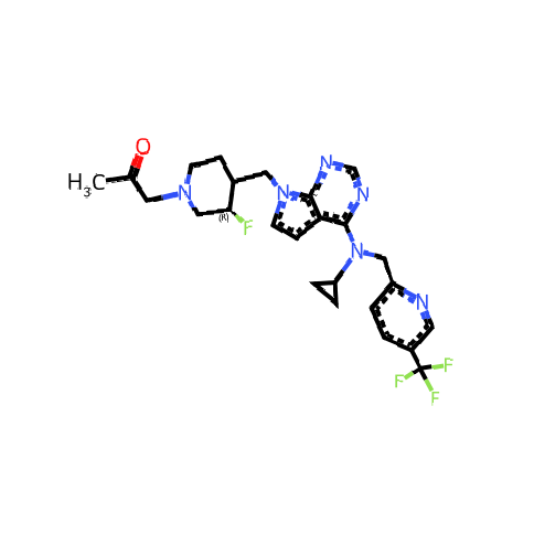 CC(=O)CN1CCC(Cn2ccc3c(N(Cc4ccc(C(F)(F)F)cn4)C4CC4)ncnc32)[C@@H](F)C1